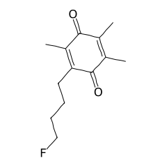 CC1=C(C)C(=O)C(CCCCF)=C(C)C1=O